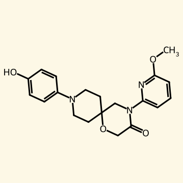 COc1cccc(N2CC3(CCN(c4ccc(O)cc4)CC3)OCC2=O)n1